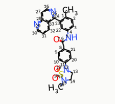 Cc1ccc(NC(=O)c2ccc(N3CCN(C)S3(=O)=O)cc2)cc1-c1nccc2ncccc12